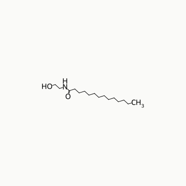 CCCCCCCCCCCCCC(=O)NCCO